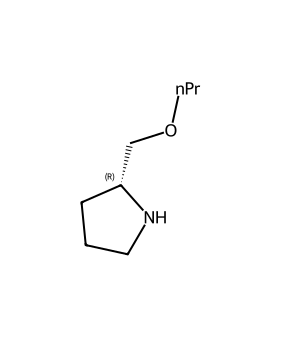 CCCOC[C@H]1CCCN1